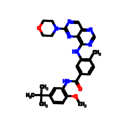 COc1ccc(C(C)(C)C)cc1NC(=O)c1ccc(C)c(Nc2ncnc3cnc(N4CCOCC4)nc23)c1